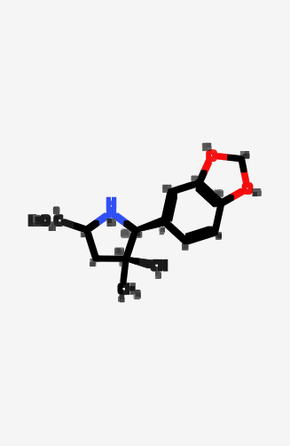 CCOC(=O)C1C[C@](C)(C#N)[C@H](c2ccc3c(c2)OCO3)N1